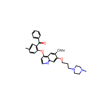 COc1cc2c(Oc3ccc(C)cc3C(=O)c3ccccc3)ccnc2cc1OCCCN1CCN(C)CC1